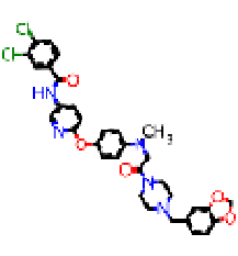 CN(CC(=O)N1CCN(Cc2ccc3c(c2)OCO3)CC1)c1ccc(Oc2ccc(NC(=O)c3ccc(Cl)c(Cl)c3)cn2)cc1